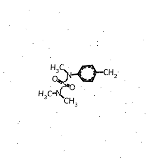 [CH2]c1ccc(N(C)S(=O)(=O)N(C)C)cc1